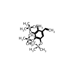 C=Cc1cc(O[Si](C)(C)C)c(O[Si](C)(C)C)c(O[Si](C)(C)C)c1[SiH3]